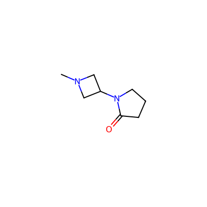 CN1CC(N2CCCC2=O)C1